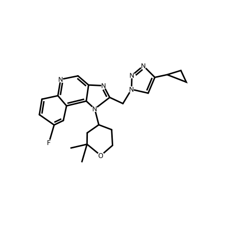 CC1(C)CC(n2c(Cn3cc(C4CC4)nn3)nc3cnc4ccc(F)cc4c32)CCO1